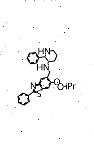 CC(C)OOc1cc2sc(-c3ccccc3)nc2cc1CNC1CCCNC1c1ccccc1